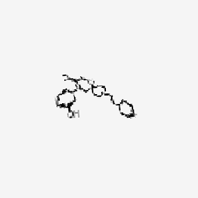 O=C1COC2(CCN(CCc3ccccc3)CC2)CN1c1cccc(O)c1